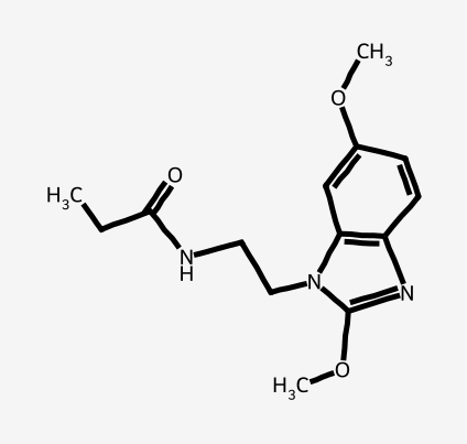 CCC(=O)NCCn1c(OC)nc2ccc(OC)cc21